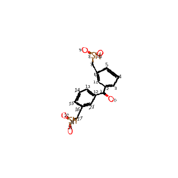 O=C(c1cccc(C[SH](=O)=O)c1)c1cccc(C[SH](=O)=O)c1